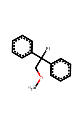 CCC(CO[SiH3])(c1ccccc1)c1ccccc1